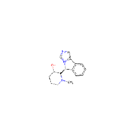 CN1CCCC(O)C1[C@@H]1c2ccccc2-c2cncn21